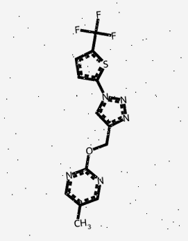 Cc1cnc(OCc2cn(-c3ccc(C(F)(F)F)s3)nn2)nc1